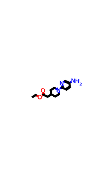 CCOC(=O)CC1CCN(c2ccc(N)cn2)CC1